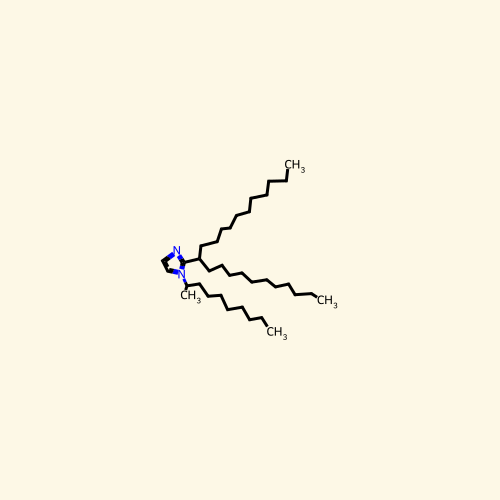 CCCCCCCCCCCC(CCCCCCCCCCC)c1nccn1C(C)CCCCCCCC